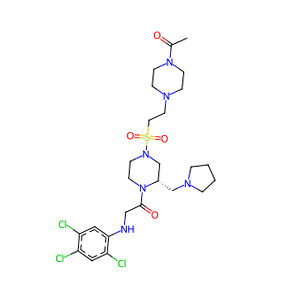 CC(=O)N1CCN(CCS(=O)(=O)N2CCN(C(=O)CNc3cc(Cl)c(Cl)cc3Cl)[C@@H](CN3CCCC3)C2)CC1